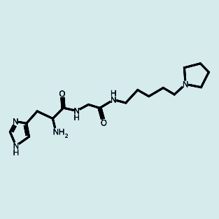 NC(Cc1c[nH]cn1)C(=O)NCC(=O)NCCCCCN1CCCC1